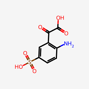 Nc1ccc(S(=O)(=O)O)cc1C(=O)C(=O)O